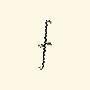 NCCCCCCCCCCCC(N)C(N)CCCCCCCCCCCN